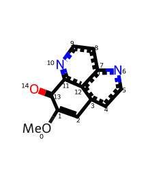 COC1=Cc2ccnc3ccnc(c23)C1=O